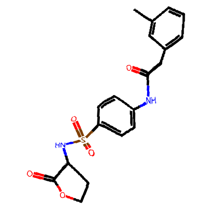 Cc1cccc(CC(=O)Nc2ccc(S(=O)(=O)NC3CCOC3=O)cc2)c1